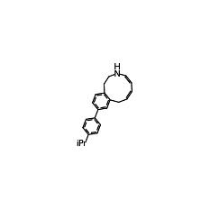 CC(C)c1ccc(-c2ccc3c(c2)C/C=C\C=C/NCC3)cc1